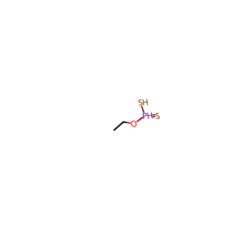 CCO[PH](=S)S